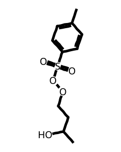 Cc1ccc(S(=O)(=O)OOCCC(C)O)cc1